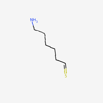 NCCCCCC=S